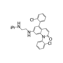 CC(C)NCCNc1cc(-c2ccccc2Cl)c2ccc(=O)n(-c3ccccc3Cl)c2c1